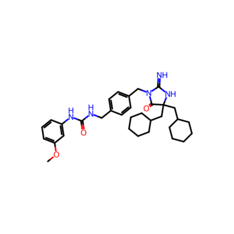 COc1cccc(NC(=O)NCc2ccc(CN3C(=N)NC(CC4CCCCC4)(CC4CCCCC4)C3=O)cc2)c1